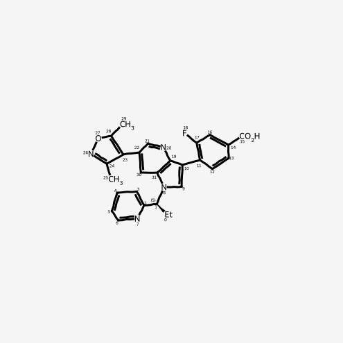 CC[C@@H](c1ccccn1)n1cc(-c2ccc(C(=O)O)cc2F)c2ncc(-c3c(C)noc3C)cc21